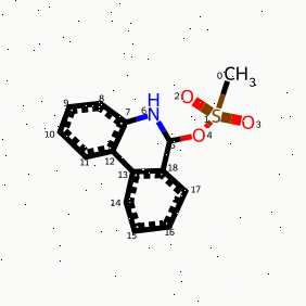 CS(=O)(=O)OC1Nc2ccccc2-c2ccccc21